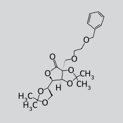 CC1(C)OC[C@H]([C@H]2OC(=O)[C@@]3(COCCOCc4ccccc4)OC(C)(C)O[C@@H]23)O1